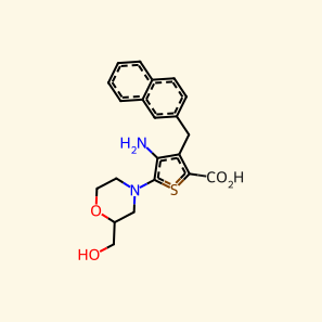 Nc1c(N2CCOC(CO)C2)sc(C(=O)O)c1Cc1ccc2ccccc2c1